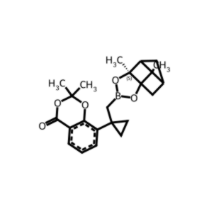 CC1(C)OC(=O)c2cccc(C3(CB4OC56CC7CC(C75C)[C@]6(C)O4)CC3)c2O1